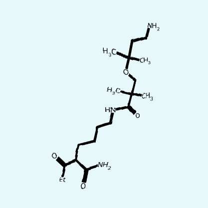 CCC(=O)C(CCCCNC(=O)C(C)(C)COC(C)(C)CCN)C(N)=O